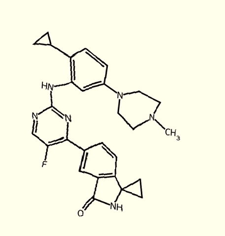 CN1CCN(c2ccc(C3CC3)c(Nc3ncc(F)c(-c4ccc5c(c4)C(=O)NC54CC4)n3)c2)CC1